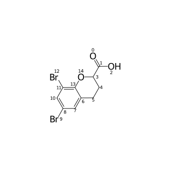 O=C(O)C1CCc2cc(Br)cc(Br)c2O1